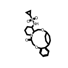 O=C1COc2ccccc2C2CCC(CC2)OCC2C(NS(=O)(=O)C3CC3)CCCN12